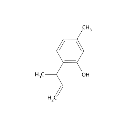 C=CC(C)c1ccc(C)cc1O